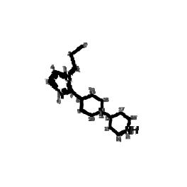 CCCn1ccnc1C1CCN(C2CCNCC2)CC1